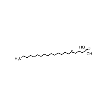 CCCCCCCCCCCCCCCSCCCP(=O)(O)O